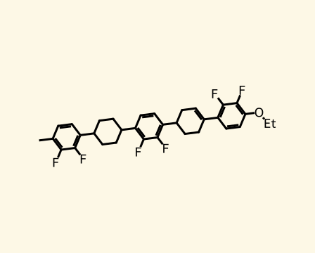 CCOc1ccc(C2=CCC(c3ccc(C4CCC(c5ccc(C)c(F)c5F)CC4)c(F)c3F)CC2)c(F)c1F